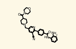 N#Cc1cc(CN2CCC(C(=O)N3CCOCC3)CC2)cnc1-c1ccc(C(=O)Nc2ccccc2N)cc1